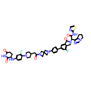 O=C1CCC(Nc2ccc(N3CCC(CC(=O)N4CC5(C4)CN(c4ccc(-c6cc(F)c7c(c6)C(=O)N(C(C(=O)Nc6nccs6)c6ncn8c6CCC8)C7)cc4)C5)CC3)c(F)c2)C(=O)N1